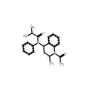 CC(=O)N1c2ccccc2C(N(C(=O)C(C)C)c2ccccc2)CC1C